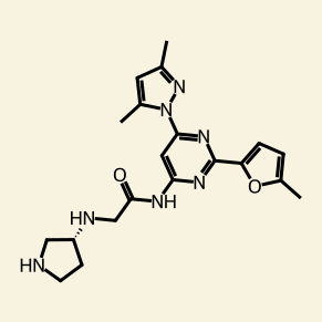 Cc1cc(C)n(-c2cc(NC(=O)CN[C@@H]3CCNC3)nc(-c3ccc(C)o3)n2)n1